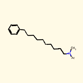 CC(=O)N(C)CCCCCCCCCCc1ccccc1